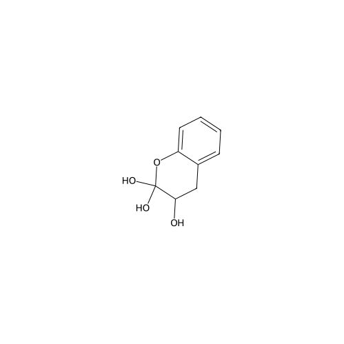 OC1Cc2ccccc2OC1(O)O